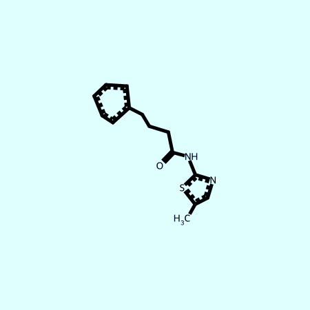 Cc1cnc(NC(=O)CCCc2ccccc2)s1